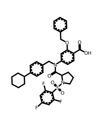 O=C(O)c1ccc(N(Cc2ccc(C3CCCCC3)cc2)C(=O)C2CCCN2S(=O)(=O)c2c(F)cc(F)cc2F)cc1OCc1ccccc1